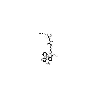 Cc1cnccc1-c1cccc([C@H](C)N(CCCCNC(=O)NCCS(=O)(=O)NCC(=O)O)S(=O)(=O)c2ccccc2C(F)(F)F)c1